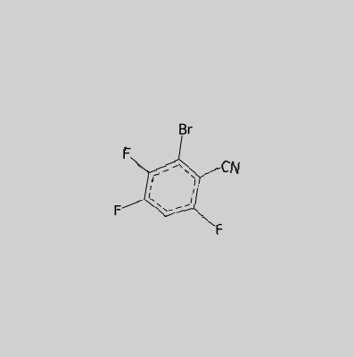 N#Cc1c(F)cc(F)c(F)c1Br